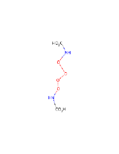 O=C(O)NOOOONC(=O)O